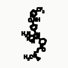 CN(C/C=C/C(=O)N1CCC[C@@H](n2nc(-c3ccc(C(=O)Nc4cc(C(F)(F)F)ccn4)cc3)c3c(N)ncnc32)C1)C1CC1